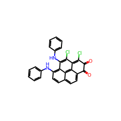 O=c1c(Cl)c2c(Cl)c(Nc3ccccc3)c3c(Nc4ccccc4)ccc4ccc(c1=O)c2c43